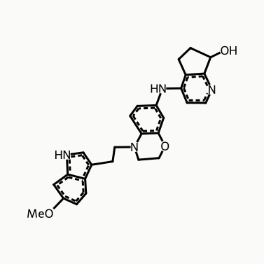 COc1ccc2c(CCN3CCOc4cc(Nc5ccnc6c5CCC6O)ccc43)c[nH]c2c1